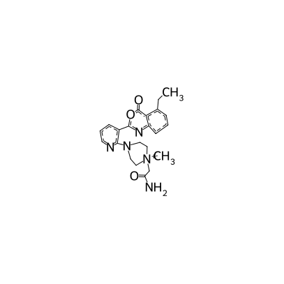 CCc1cccc2nc(-c3cccnc3N3CC[N+](C)(CC(N)=O)CC3)oc(=O)c12